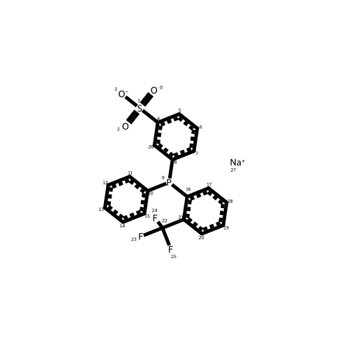 O=S(=O)([O-])c1cccc(P(c2ccccc2)c2ccccc2C(F)(F)F)c1.[Na+]